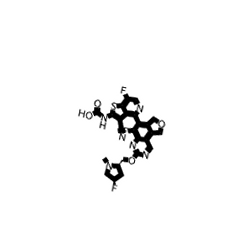 CN1C[C@H](F)C[C@H]1COc1ncc2c3c(c(-c4ncc(F)c5sc(NC(=O)O)c(C#N)c45)c(F)c2n1)COC3